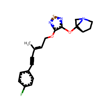 C/C(C#Cc1ccc(F)cc1)=C\COc1nsnc1OC1CN2CCC1C2